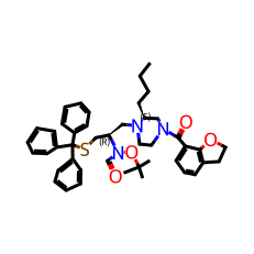 CCCC[C@H]1CN(C(=O)c2cccc3c2OCC3)CCN1C[C@H](CSC(c1ccccc1)(c1ccccc1)c1ccccc1)N(C=O)OC(C)(C)C